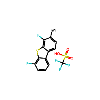 CCCc1ccc2c(sc3c(F)cccc32)c1F.O=S(=O)(O)C(F)(F)F